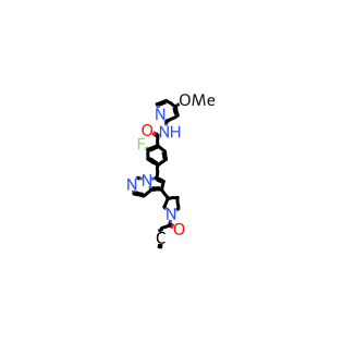 C=C=CC(=O)N1CCC(c2cc(-c3ccc(C(=O)Nc4cc(OC)ccn4)c(F)c3)n3cnccc23)C1